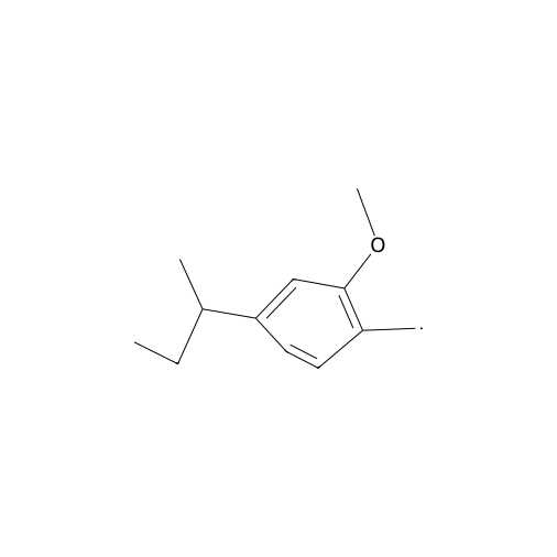 [CH2]c1ccc(C(C)CC)cc1OC